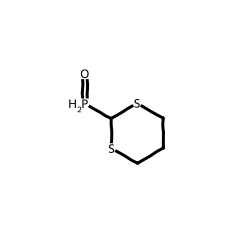 O=[PH2]C1SCCCS1